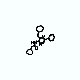 O=C(CC1CCCCC1)Nc1ncc(-c2ccccc2)nc1CC1CCCCC1